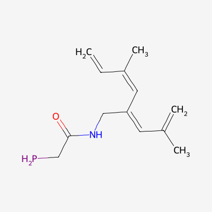 C=C/C(C)=C\C(=C/C(=C)C)CNC(=O)CP